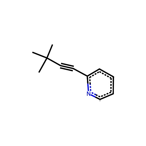 CC(C)(C)C#Cc1ccc[c]n1